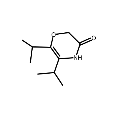 CC(C)C1=C(C(C)C)OCC(=O)N1